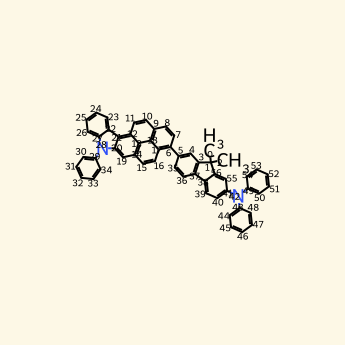 CC1(C)c2cc(-c3ccc4ccc5c6c(ccc3c46)cc3c5c4ccccc4n3-c3ccccc3)ccc2-c2ccc(N(c3ccccc3)c3ccccc3)cc21